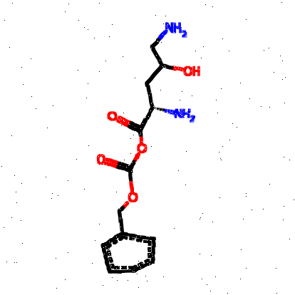 NCC(O)C[C@H](N)C(=O)OC(=O)OCc1ccccc1